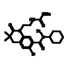 COC(=O)NCCN1C(=O)C(C)(C)Cc2cc(Br)c(C(=O)N(C(C)C)C3CCCCC3)cc21